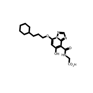 O=C(O)CNC(=O)c1c(O)cc(OCCCC2CCCCC2)n2ncnc12